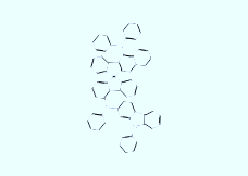 c1ccc(N(c2ccc3c4ccccc4n(-c4ccccc4)c3c2)c2cccc3c2-c2ccccc2C32c3ccccc3-c3c2cc2ccccc2c3N(c2ccccc2)c2ccccc2)cc1